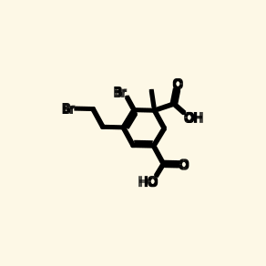 CC1(C(=O)O)CC(C(=O)O)=CC(CCBr)=C1Br